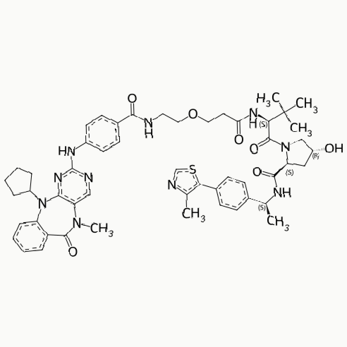 Cc1ncsc1-c1ccc([C@H](C)NC(=O)[C@@H]2C[C@@H](O)CN2C(=O)[C@@H](NC(=O)CCOCCNC(=O)c2ccc(Nc3ncc4c(n3)N(C3CCCC3)c3ccccc3C(=O)N4C)cc2)C(C)(C)C)cc1